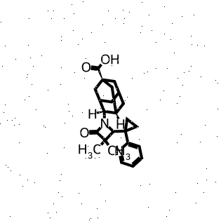 CC1(C)C(=O)N([C@@H]2C3CC4C[C@H]2C[C@@](C(=O)O)(C4)C3)C1C1(c2ccccn2)CC1